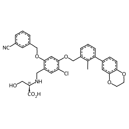 Cc1c(COc2cc(OCc3cccc(C#N)c3)c(CN[C@H](CO)C(=O)O)cc2Cl)cccc1-c1ccc2c(c1)OCCO2